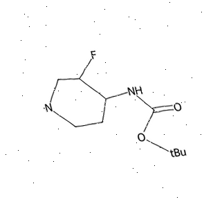 CC(C)(C)OC(=O)NC1CC[N]CC1F